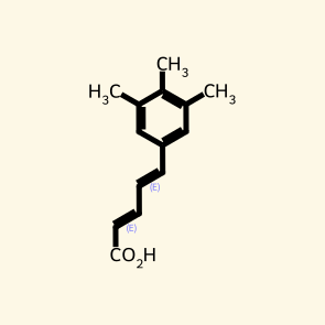 Cc1cc(/C=C/C=C/C(=O)O)cc(C)c1C